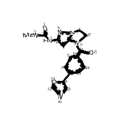 CNC(=O)Nc1cc2n(n1)CCN2C(=O)c1ccc(-c2cnco2)cc1